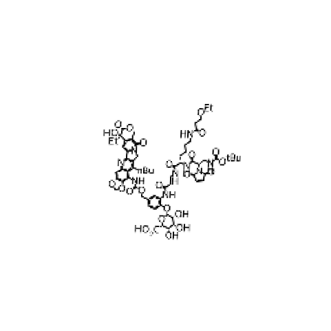 CCCCc1c2c(nc3cc4c(c(NC(=O)OCc5ccc(O[C@@H]6O[C@H](C(=O)O)[C@@H](O)[C@H](O)[C@H]6O)c(NC(=O)CCNC(=O)[C@H](CCCCNC(=O)CCOCC)NC(=O)[C@@H](CNC(=O)OC(C)(C)C)N6C(=O)C=CC6=O)c5)c13)OCO4)-c1cc3c(c(=O)n1C2)COC(=O)[C@]3(O)CC